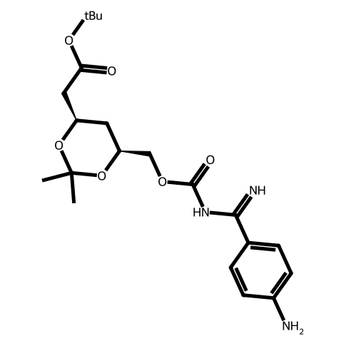 CC(C)(C)OC(=O)C[C@H]1C[C@@H](COC(=O)NC(=N)c2ccc(N)cc2)OC(C)(C)O1